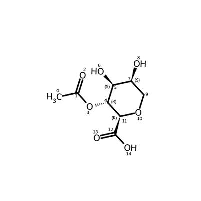 CC(=O)O[C@@H]1[C@@H](O)[C@@H](O)CO[C@H]1C(=O)O